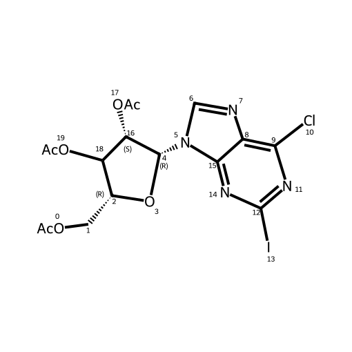 CC(=O)OC[C@H]1O[C@@H](n2cnc3c(Cl)nc(I)nc32)[C@@H](OC(C)=O)C1OC(C)=O